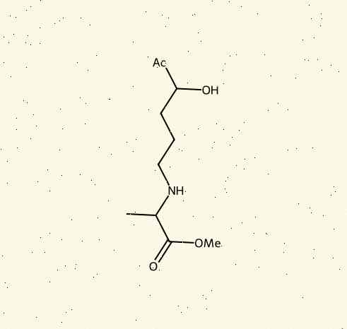 COC(=O)C(C)NCCCC(O)C(C)=O